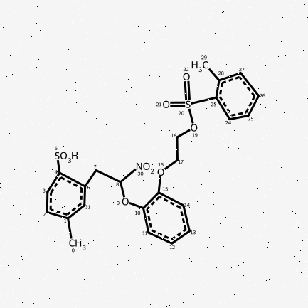 Cc1ccc(S(=O)(=O)O)c(CC(Oc2ccccc2OCCOS(=O)(=O)c2ccccc2C)[N+](=O)[O-])c1